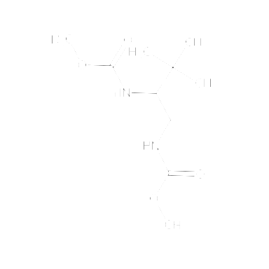 COC(=O)NCC(NC(=O)OC)C(C)(C)C